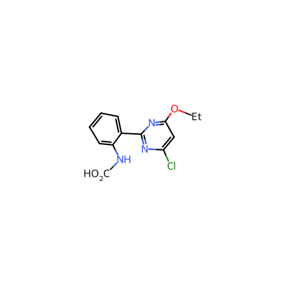 CCOc1cc(Cl)nc(-c2ccccc2NC(=O)O)n1